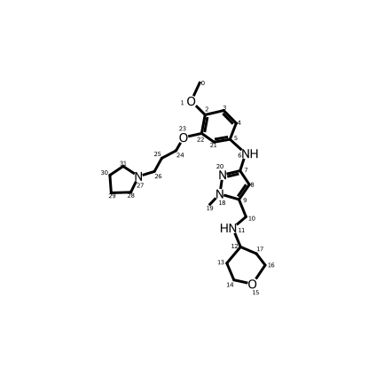 COc1ccc(Nc2cc(CNC3CCOCC3)n(C)n2)cc1OCCCN1CCCC1